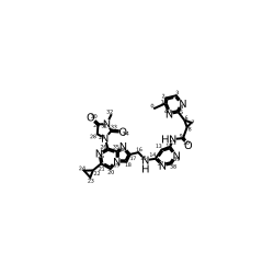 Cc1ccnc(C2CC2C(=O)Nc2cc(NCc3cn4cc(C5CC5)nc(N5CC(=O)N(C)C5=O)c4n3)ncn2)n1